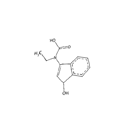 CCN(C(=O)O)C1=CC(O)c2ccccc21